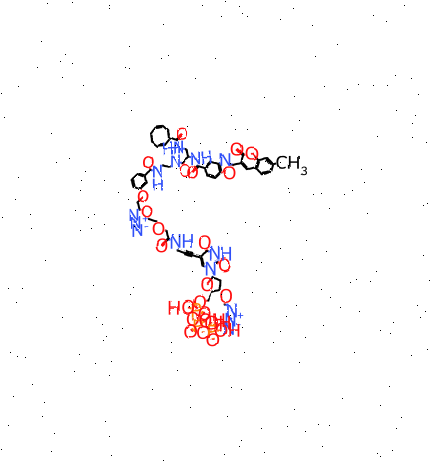 Cc1ccc2cc(-c3nc4cc(C(=O)NC(CNC(=O)C5=C/C=C\C=C/C=C\5)C(=O)NCCNC(=O)c5cccc(OCC(N=[N+]=[N-])OCCOCC(=O)NCC#Cc6cn([C@H]7CC(OCN=[N+]=[N-])[C@@H](COP(=O)(O)OP(=O)(O)OP(=O)(O)O)O7)c(=O)[nH]c6=O)c5)ccc4o3)c(=O)oc2c1